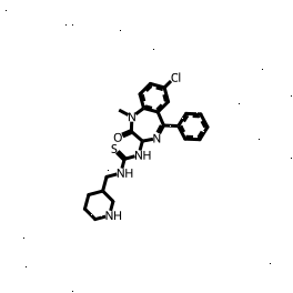 CN1C(=O)C(NC(=S)NCC2CCCNC2)N=C(c2ccccc2)c2cc(Cl)ccc21